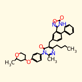 CCCCc1nc(C)n(-c2ccc(OC3CCOC(C)C3)cc2)c(=O)c1Cc1ccc(-c2ccccc2)c(-c2noc(=O)[nH]2)c1